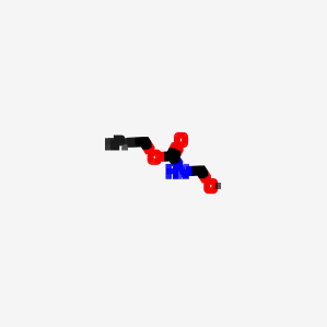 CCCCOC(=O)NC[O]